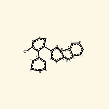 Clc1cccc(-c2ccc3sc4ccccc4c3c2)c1-c1ccccc1